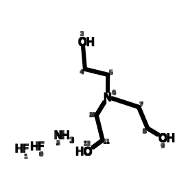 F.F.N.OCCN(CCO)CCO